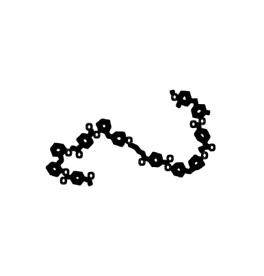 COc1ccc(Cc2ccc(OC(=O)c3ccc(C(=O)COc4ccc(Cc5ccc(OC(=O)c6ccc(C(=O)CCCCOc7ccc(Cc8ccccc8OC(=O)c8ccc(C(=O)COc9ccccc9Cc9ccccc9OC(=O)c9ccc(C(C)=O)cc9)cc8)cc7)cc6)cc5)cc4)cc3)c(C)c2)cc1C